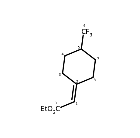 CCOC(=O)C=C1CCC(C(F)(F)F)CC1